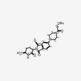 C=C1CCC(N2C(=O)c3ccc(N4CCN(C(=O)OC(C)(C)C)CC4)cc3C2=O)C(=O)N1